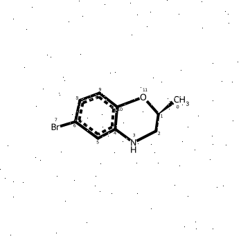 C[C@H]1CNc2cc(Br)ccc2O1